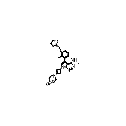 Nc1ncnc2c1c(-c1cccc(OC[C@@H]3CCCO3)c1F)cn2C1CC(N2CC[S+]([O-])CC2)C1